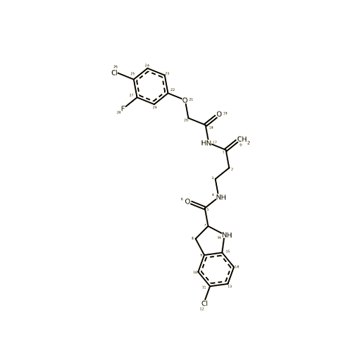 C=C(CCNC(=O)C1Cc2cc(Cl)ccc2N1)NC(=O)COc1ccc(Cl)c(F)c1